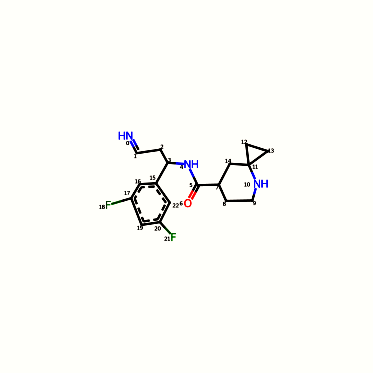 N=CCC(NC(=O)C1CCNC2(CC2)C1)c1cc(F)cc(F)c1